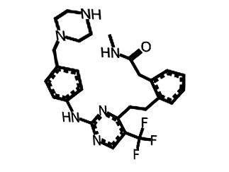 CNC(=O)Cc1ccccc1CCc1nc(Nc2ccc(CN3CCNCC3)cc2)ncc1C(F)(F)F